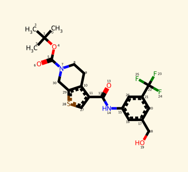 CC(C)(C)OC(=O)N1CCc2c(C(=O)Nc3cc(CO)cc(C(F)(F)F)c3)csc2C1